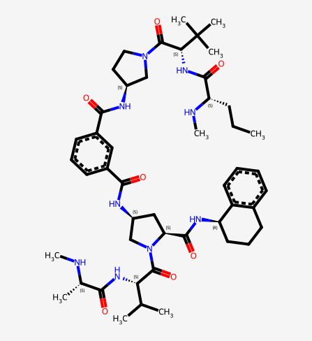 CCC[C@H](NC)C(=O)N[C@H](C(=O)N1CC[C@H](NC(=O)c2cccc(C(=O)N[C@H]3C[C@@H](C(=O)N[C@@H]4CCCc5ccccc54)N(C(=O)[C@@H](NC(=O)[C@H](C)NC)C(C)C)C3)c2)C1)C(C)(C)C